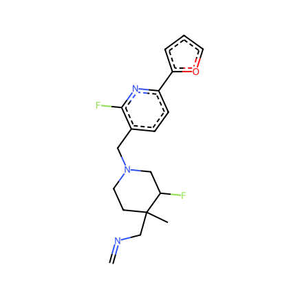 C=NCC1(C)CCN(Cc2ccc(-c3ccco3)nc2F)CC1F